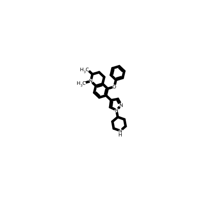 CC1CCc2c(ccc(-c3cnn(C4CCNCC4)c3)c2Oc2ccccc2)N1C